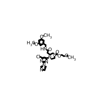 COCCOC(=O)N1CCN(c2cc(Cl)nc(-n3ccnc3)n2)C(CC(=O)NCc2cc(OC)cc(OC)c2)C1